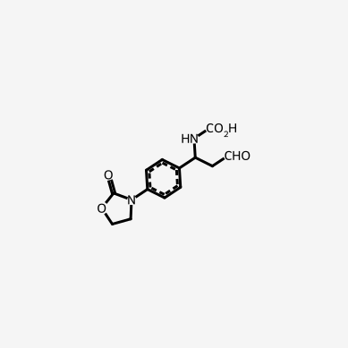 O=CCC(NC(=O)O)c1ccc(N2CCOC2=O)cc1